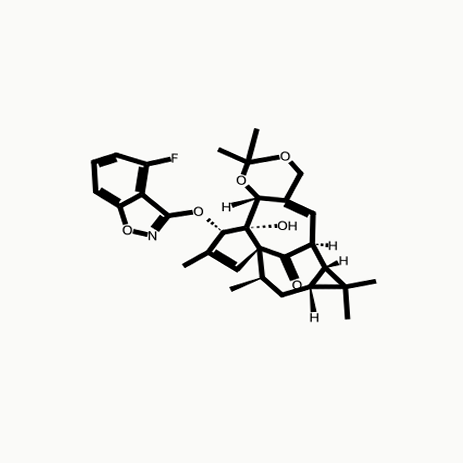 CC1=C[C@]23C(=O)[C@@H](C=C4COC(C)(C)O[C@H]4[C@]2(O)[C@H]1Oc1noc2cccc(F)c12)[C@H]1[C@@H](C[C@H]3C)C1(C)C